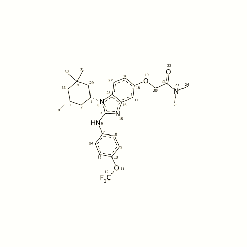 C[C@H]1C[C@@H](n2c(Nc3ccc(OC(F)(F)F)cc3)nc3cc(OCC(=O)N(C)C)ccc32)CC(C)(C)C1